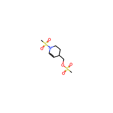 CS(=O)(=O)OCC1C=CN(S(C)(=O)=O)CC1